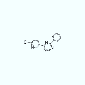 Clc1ccc(-c2ncnc(-c3ccccc3)n2)cn1